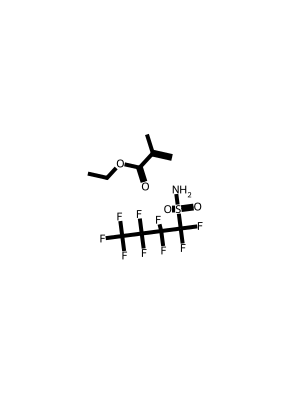 C=C(C)C(=O)OCC.NS(=O)(=O)C(F)(F)C(F)(F)C(F)(F)C(F)(F)F